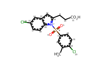 Cc1cc(S(=O)(=O)n2c(CCC(=O)O)cc3cc(Cl)ccc32)ccc1Cl